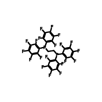 Fc1c(F)c(F)c(P(CCP(c2c(F)c(F)c(F)c(F)c2F)c2c(F)c(F)c(F)c(F)c2F)c2c(F)c(F)c(F)c(F)c2F)c(F)c1F